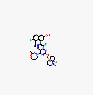 C#Cc1c(F)ccc2cc(O)cc(-c3ncc4c(N5CCCOC(C)C5)nc(OC[C@]56CCC[C@H]5N(C)CCC6)nc4c3F)c12